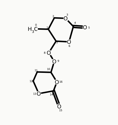 CC1COC(=O)OC1OOC1CCOC(=O)O1